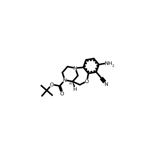 CC(C)(C)OC(=O)N1CCN2C[C@@H]1COc1c2ccc(N)c1C#N